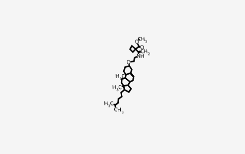 C=C(NCCOC1CCC2(C)C(=CCC3C2CCC2(C)C(CCCCC(C)C)CCC32)C1)C1(C(=O)OC)CCC1